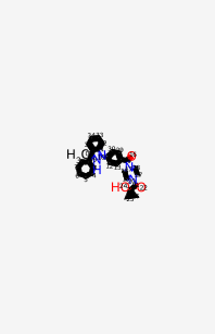 CC1(C2CCCCCC2)NN(c2ccc(C(=O)N3CCN(C(=O)C4(O)CC4)CC3)cc2)c2ccccc21